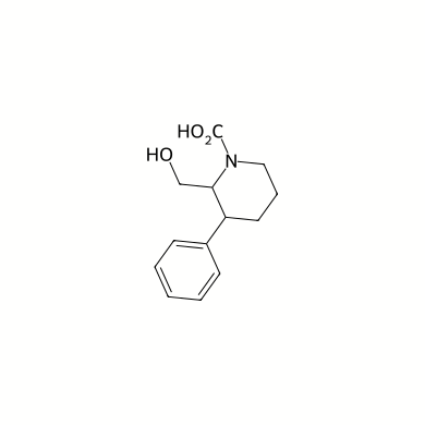 O=C(O)N1CCCC(c2ccccc2)C1CO